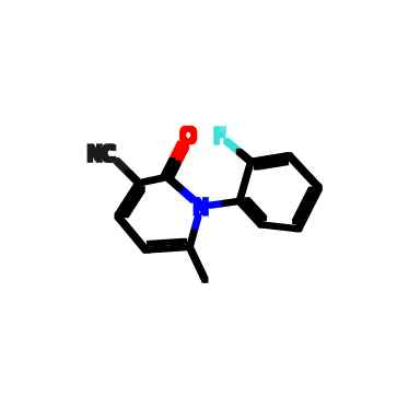 Cc1ccc(C#N)c(=O)n1-c1ccccc1F